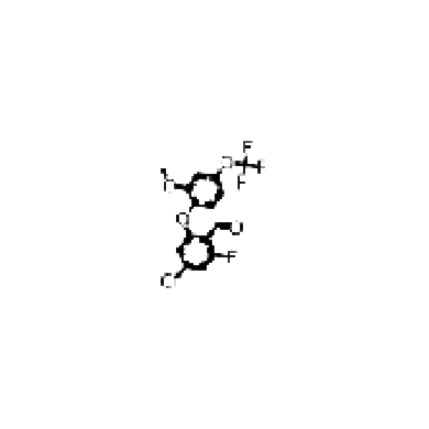 COc1cc(OC(F)(F)F)ccc1Oc1cc(Cl)cc(F)c1C=O